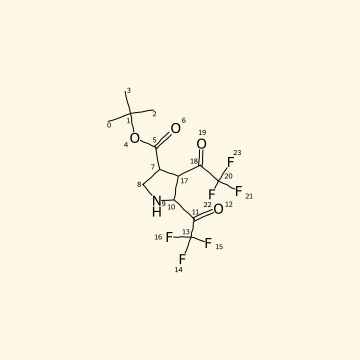 CC(C)(C)OC(=O)C1CNC(C(=O)C(F)(F)F)C1C(=O)C(F)(F)F